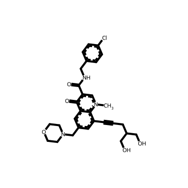 Cn1cc(C(=O)NCc2ccc(Cl)cc2)c(=O)c2cc(CN3CCOCC3)cc(C#CCC(CO)CO)c21